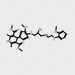 COC(=O)C1=C(C)NC(C)=C(C(=O)OC)C1c1ccc(OCC(O)CNCCOc2ccccc2OC)c(OC)c1